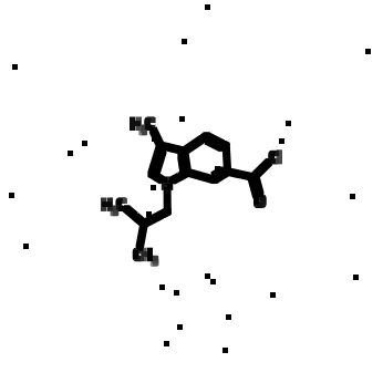 Cc1cn(CC(C)C)c2cc(C(=O)Cl)ccc12